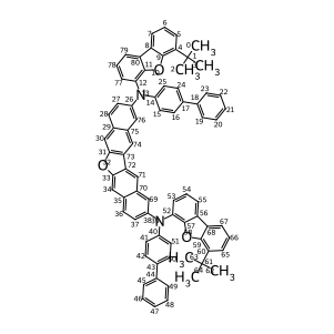 CC(C)(C)c1cccc2c1oc1c(N(c3ccc(-c4ccccc4)cc3)c3ccc4cc5oc6cc7ccc(N(c8ccc(-c9ccccc9)cc8)c8cccc9c8oc8c(C(C)(C)C)cccc89)cc7cc6c5cc4c3)cccc12